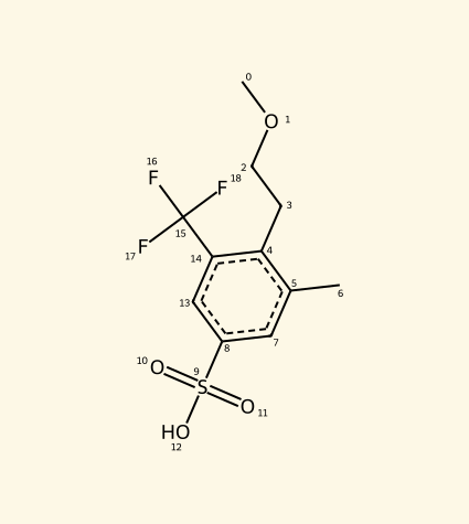 COCCc1c(C)cc(S(=O)(=O)O)cc1C(F)(F)F